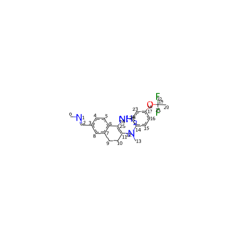 C/N=C/c1ccc2c(c1)CCC(N(C)c1ccc(OC(C)(F)F)cc1)=C2N